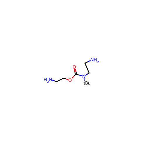 CC(C)(C)N(CCN)C(=O)OCCN